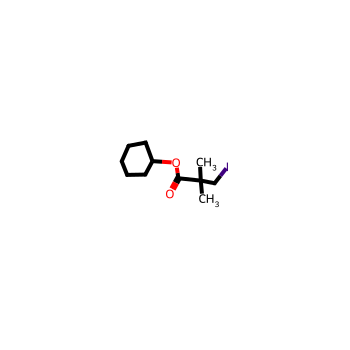 CC(C)(CI)C(=O)OC1CCCCC1